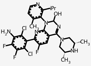 Cc1ccnc(C(C)C)c1N1c2nc(-c3c(Cl)c(N)c(F)c(F)c3Cl)c(F)cc2C(N2C[C@@H](C)N[C@@H](C)C2)=NC1O